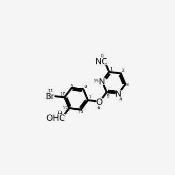 N#Cc1ccnc(Oc2ccc(Br)c(C=O)c2)n1